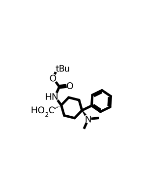 CN(C)[C@]1(c2ccccc2)CC[C@@](NC(=O)OC(C)(C)C)(C(=O)O)CC1